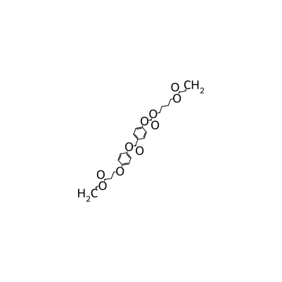 C=COC(=O)CCOc1ccc(OC(=O)c2ccc(OC(=O)OCCCCOC(=O)C=C)cc2)cc1